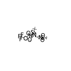 COc1ccc(C(F)(F)F)cc1C(=O)/N=c1\sc(C(C)(C)C)cn1CC1CN(S(=O)(=O)C2CC2)C1